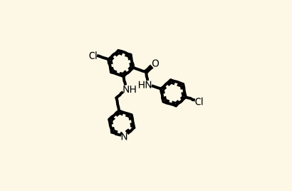 O=C(Nc1ccc(Cl)cc1)c1ccc(Cl)cc1NCc1ccncc1